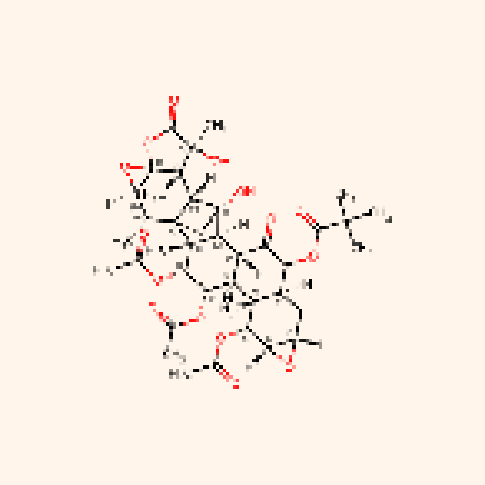 CC(=O)O[C@H]1[C@H]2[C@@H](C(=O)C(OC(=O)C(C)(C)C)[C@H]3C[C@@H]4O[C@@H]4[C@H](OC(C)=O)[C@]23C)[C@@H]2[C@@]3(O)C[C@@]4([C@H](C)[C@H]5O[C@]56OC(=O)[C@@](C)(O)[C@]6(C)[C@H]34)[C@@]2(C)[C@H]1OC(C)=O